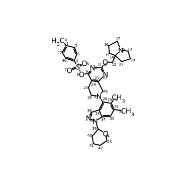 Cc1ccc(S(=O)(=O)Oc2nc(OCC34CCCN3CCC4)nc3c2CCN(c2c(C)c(C)cc4c2cnn4C2CCCCO2)C3)cc1